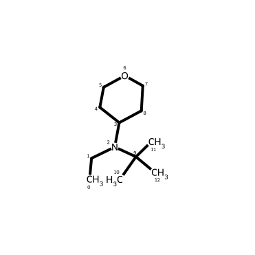 CCN(C1CCOCC1)C(C)(C)C